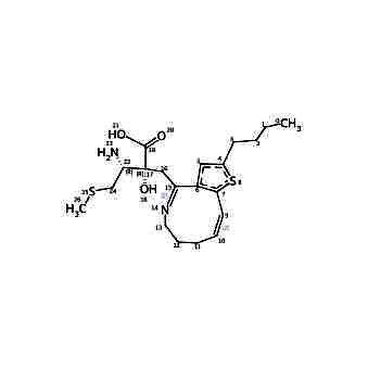 CCCCc1cc2c(s1)/C=C\CCC/N=C\2C[C@](O)(C(=O)O)[C@@H](N)CSC